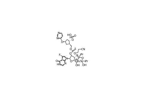 CC(C)[Si](O)(O[Si](O[C@H]1[C@H](OP(=S)(OCCC#N)OC[C@H]2C[C@@H](Oc3ccncn3)C[C@@H]2O[PH](=O)O)[C@H](n2cc(F)c3c(=O)[nH]cnc32)O[C@@H]1CO)(C(C)C)C(C)C)C(C)C